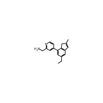 CCc1cc2c(c(-c3ccnc(CN)c3)c1)CC(C)=C2